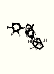 Cc1cc(N2C[C@H]3CC[C@@H](C2)[C@H]3Nc2nc3n(n2)CCN3c2ccc(F)c(F)c2F)ncn1